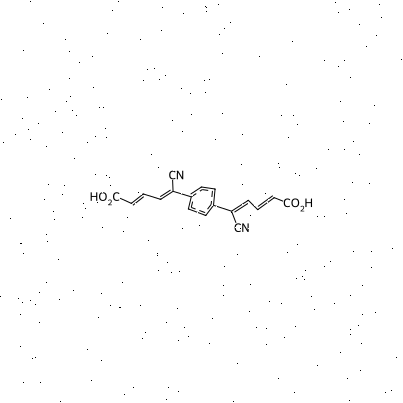 N#CC(=CC=CC(=O)O)c1ccc(C(C#N)=CC=CC(=O)O)cc1